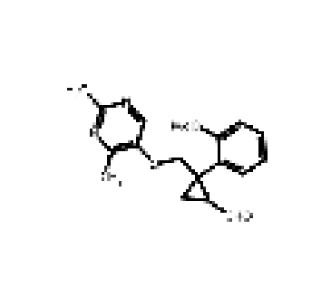 COc1ccccc1C1(COc2cnc(C)nc2C)CC1C=O